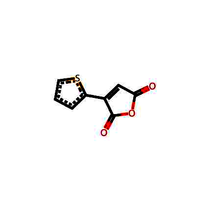 O=C1C=C(c2cccs2)C(=O)O1